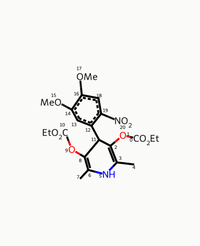 CCOC(=O)OC1=C(C)NC(C)=C(OC(=O)OCC)C1c1cc(OC)c(OC)cc1[N+](=O)[O-]